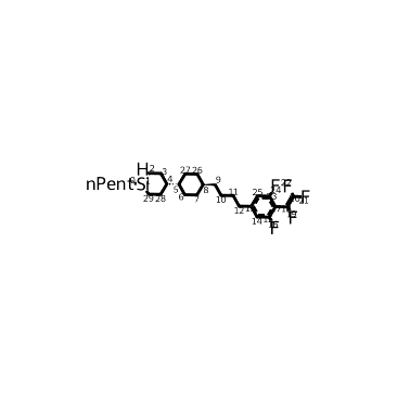 CCCCC[SiH]1CCC([C@H]2CC[C@H](CCCCc3cc(F)c(C(F)=C(F)F)c(F)c3)CC2)CC1